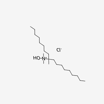 CCCCCCCCCC(C)(CCCCCCCC)[N+](C)(C)O.[Cl-]